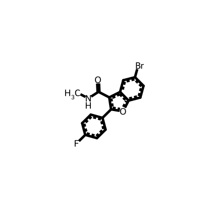 CNC(=O)c1c(-c2ccc(F)cc2)oc2ccc(Br)cc12